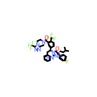 CC(C)CC[C@]1(c2ccc(F)cc2)NC(=N)N(C(Cc2ccccc2)c2ccc(C(F)(F)F)c(C(=O)N3CCn4c(nnc4C(F)(F)F)C3)c2)C1=O